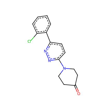 O=C1CCN(c2ccc(-c3ccccc3Cl)nn2)CC1